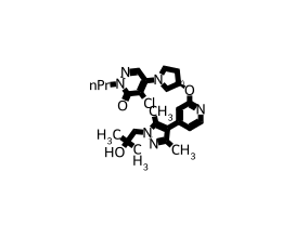 CCCn1ncc(N2CC[C@@H](Oc3cc(-c4c(C)nn(CC(C)(C)O)c4C)ccn3)C2)c(Cl)c1=O